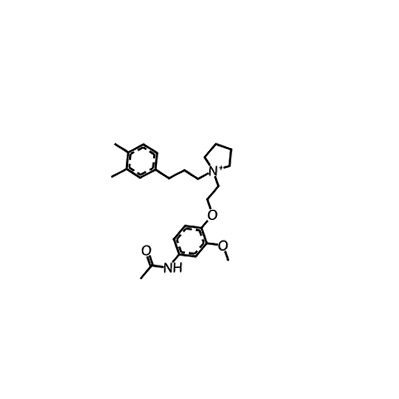 COc1cc(NC(C)=O)ccc1OCC[N+]1(CCCc2ccc(C)c(C)c2)CCCC1